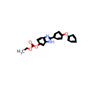 CCOC(=O)Oc1ccc2nc(-c3ccc(Oc4ccccc4)cc3)[nH]c2c1